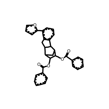 O=C(OC1C2CC(C1OC(=O)c1ccccc1)C1c3cccc(-c4ccco4)c3CC21)c1ccccc1